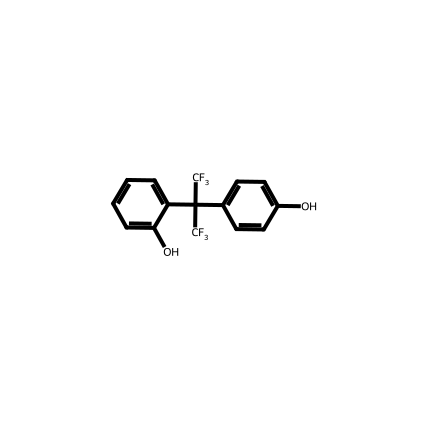 Oc1ccc(C(c2ccccc2O)(C(F)(F)F)C(F)(F)F)cc1